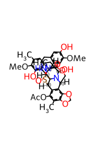 COc1cc2c(cc1O)CCN[C@]21C[S+]([O-])[C@@H]2c3c(OC(C)=O)c(C)c4c(c3[C@H](COC1=O)N1C2[C@@H]2c3c(cc(C)c(OC)c3O)C[C@H]([C@@H]1O)N2C)OCO4